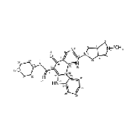 CN1CC2CN(c3ncc4c(=O)c(C(=O)NC5CCOCC5)c5[nH]c6ccccc6n5c4n3)CC2C1